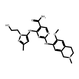 COc1cc2c(cc1Nc1ncc(C(N)=O)c(Nc3cc(C)nn3CCO)n1)CN(C)CC2